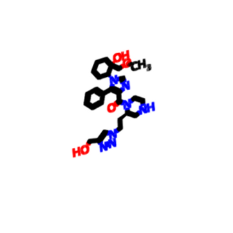 COC[C@]1(O)CCCC[C@H]1n1cnc(C(=O)N2CCNC[C@H]2CCn2cc(CO)nn2)c1-c1ccccc1